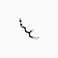 O=C=NCCC(Cl)CC(=O)O